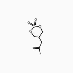 C=C(C)CC1COS(=O)(=O)OC1